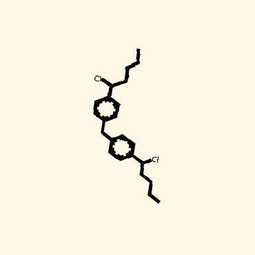 CCCCC(Cl)c1ccc(Cc2ccc(C(Cl)CCCC)cc2)cc1